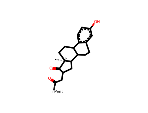 CCCCCC(=O)CC1CC2C3CCc4cc(O)ccc4C3CC[C@]2(C)C1=O